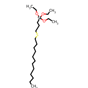 CCCCCCCCCCCCSCCC[Si](OCC)(OCC)OCC